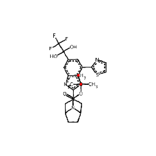 CC(C)(C)OC(=O)N1C2CCC1CN(c1nc3cc(C(O)(O)C(F)(F)F)cc(-c4nccs4)c3o1)C2